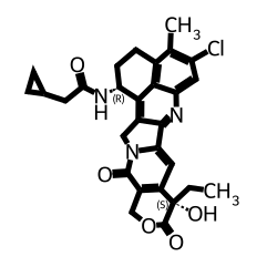 CC[C@@]1(O)C(=O)OCc2c1cc1n(c2=O)Cc2c-1nc1cc(Cl)c(C)c3c1c2[C@H](NC(=O)CC1CC1)CC3